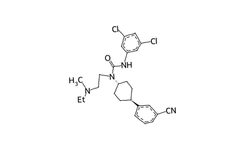 CCN(C)CCN(C(=O)Nc1cc(Cl)cc(Cl)c1)[C@H]1CC[C@H](c2cccc(C#N)c2)CC1